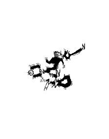 CNc1nc2ccccc2n1-c1nc(-c2c(C)nn(-c3ccc(C#N)nc3)c2C)cc(N2CCOC[C@H]2C)n1